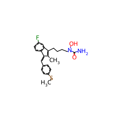 CSc1ccc(C=C2C(C)=C(CCCCN(O)C(N)=O)c3cc(F)ccc32)cc1